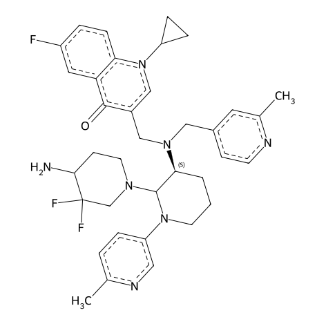 Cc1ccc(N2CCC[C@H](N(Cc3ccnc(C)c3)Cc3cn(C4CC4)c4ccc(F)cc4c3=O)C2N2CCC(N)C(F)(F)C2)cn1